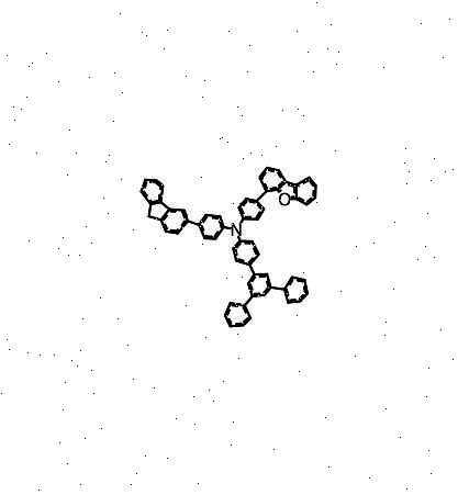 c1ccc(-c2cc(-c3ccccc3)cc(-c3ccc(N(c4ccc(-c5ccc6c(c5)-c5ccccc5C6)cc4)c4ccc(-c5cccc6c5oc5ccccc56)cc4)cc3)c2)cc1